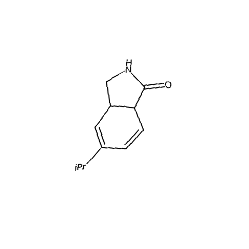 CC(C)C1=CC2CNC(=O)C2C=C1